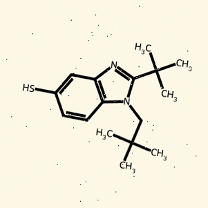 CC(C)(C)Cn1c(C(C)(C)C)nc2cc(S)ccc21